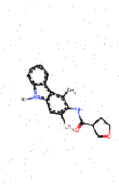 Cc1cc2c(c(C)c1NC(=O)C1CCOC1)c1ccccc1n2C(C)C